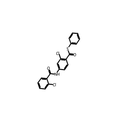 O=C(Nc1ccc(C(=O)Sc2ccccc2)c(Cl)c1)c1ccccc1Cl